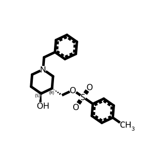 Cc1ccc(S(=O)(=O)OC[C@H]2CN(Cc3ccccc3)CC[C@@H]2O)cc1